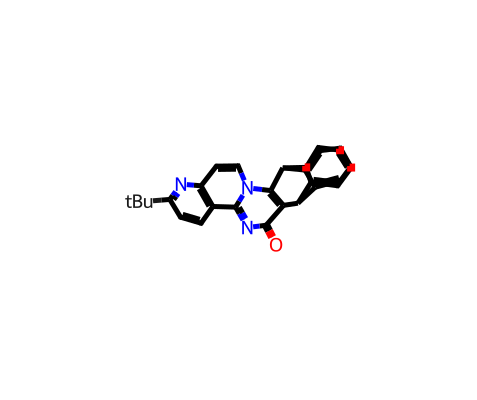 CC(C)(C)c1ccc2c(ccn3c4c(c(=O)nc23)C2c3ccccc3C4c3ccccc32)n1